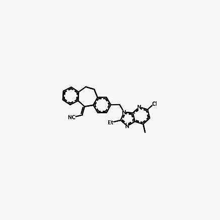 CCc1nc2c(C)cc(Cl)nc2n1Cc1ccc2c(c1)CCc1ccccc1C2=CC#N